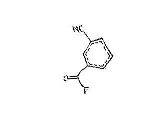 N#Cc1cc[c]c(C(=O)F)c1